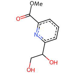 COC(=O)c1cccc(C(O)CO)n1